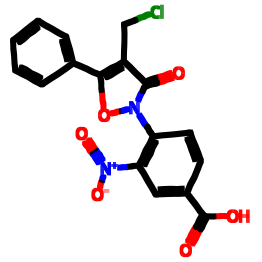 O=C(O)c1ccc(-n2oc(-c3ccccc3)c(CCl)c2=O)c([N+](=O)[O-])c1